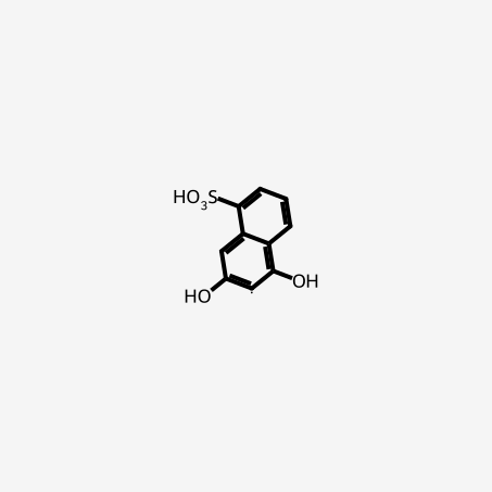 O=S(=O)(O)c1cccc2c(O)[c]c(O)cc12